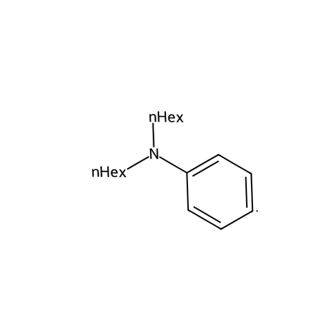 CCCCCCN(CCCCCC)c1cc[c]cc1